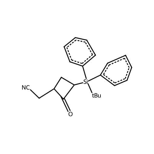 CC(C)(C)[Si](c1ccccc1)(c1ccccc1)C1CC(CC#N)C1=O